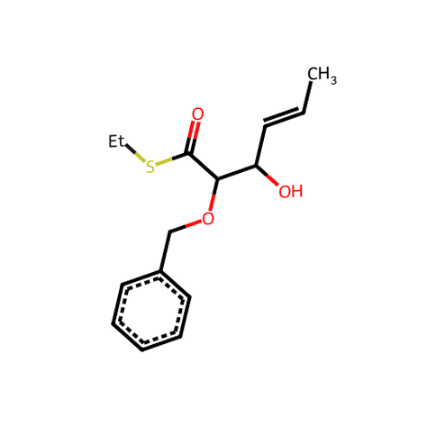 C/C=C/C(O)C(OCc1ccccc1)C(=O)SCC